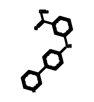 COC(=O)c1cccc(Nc2ccc(-c3cccnc3)cc2)c1